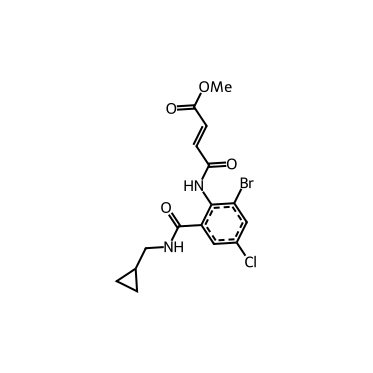 COC(=O)C=CC(=O)Nc1c(Br)cc(Cl)cc1C(=O)NCC1CC1